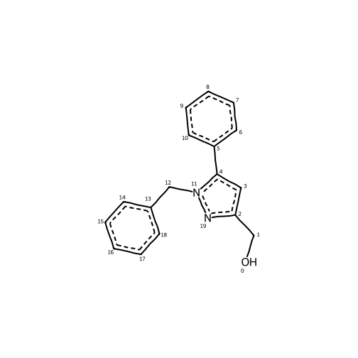 OCc1cc(-c2ccccc2)n(Cc2ccccc2)n1